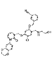 N#Cc1cccc(COc2cc(OCc3cccn(-c4ccc5c(c4)OCCO5)c3=O)c(Cl)cc2CNCCO)c1